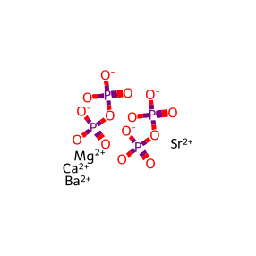 O=P([O-])([O-])OP(=O)([O-])[O-].O=P([O-])([O-])OP(=O)([O-])[O-].[Ba+2].[Ca+2].[Mg+2].[Sr+2]